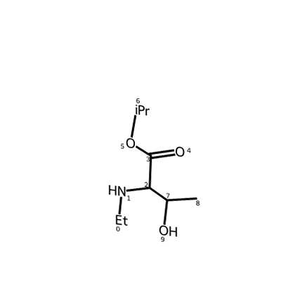 CCNC(C(=O)OC(C)C)C(C)O